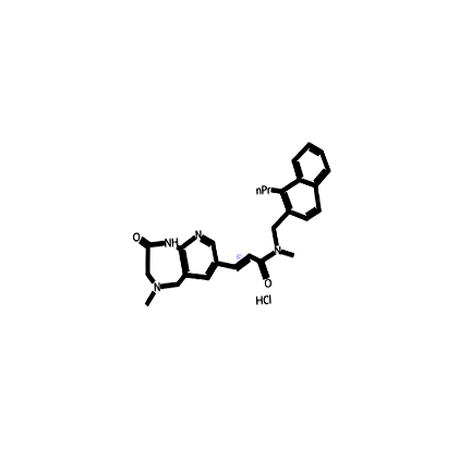 CCCc1c(CN(C)C(=O)/C=C/c2cnc3c(c2)CN(C)CC(=O)N3)ccc2ccccc12.Cl